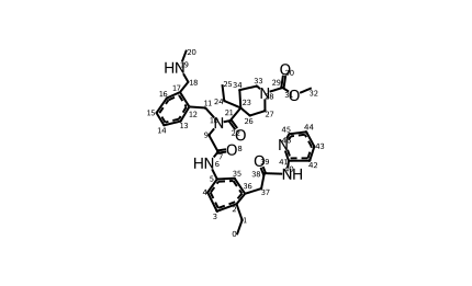 CCc1ccc(NC(=O)CN(Cc2ccccc2CNC)C(=O)C2(CC)CCN(C(=O)OC)CC2)cc1CC(=O)Nc1ccccn1